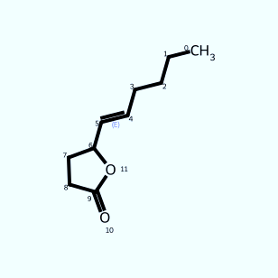 CCCC/C=C/C1CCC(=O)O1